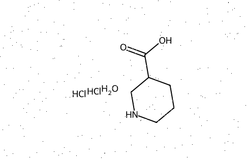 Cl.Cl.O.O=C(O)C1CCCNC1